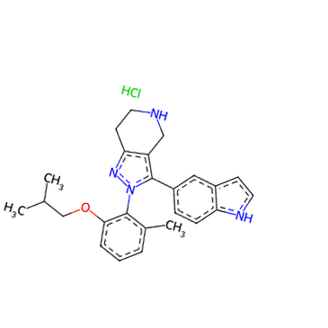 Cc1cccc(OCC(C)C)c1-n1nc2c(c1-c1ccc3[nH]ccc3c1)CNCC2.Cl